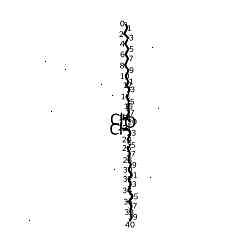 CCCCCCCCCCCCCCCCCCC(Cl)OC(Cl)CCCCCCCCCCCCCCCCCC